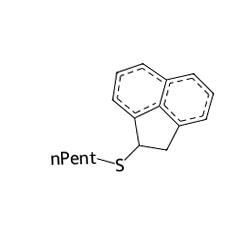 CCCCCSC1Cc2cccc3cccc1c23